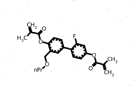 C=C(C)C(=O)Oc1ccc(-c2ccc(OC(=O)C(=C)C)c(COCCC)c2)c(F)c1